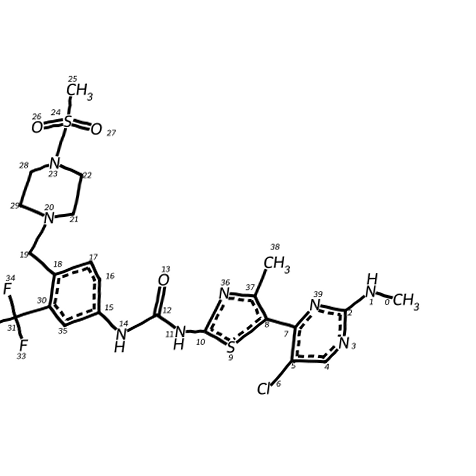 CNc1ncc(Cl)c(-c2sc(NC(=O)Nc3ccc(CN4CCN(S(C)(=O)=O)CC4)c(C(F)(F)F)c3)nc2C)n1